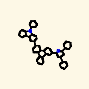 c1ccc(-c2cc(-c3ccccc3)nc(-c3ccc4c5cc(-c6ccc7c(c6)c6ccccc6n7-c6ccccc6)ccc5c5ccccc5c4c3)c2)cc1